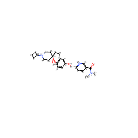 CCN(CC)C(=O)c1ccc(COc2ccc3c(c2)CCC2(CCN(C4CCC4)CC2)O3)nc1